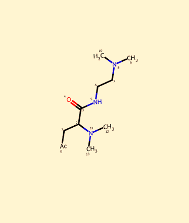 CC(=O)CC(C(=O)NCCN(C)C)N(C)C